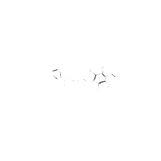 C=Cc1c(F)c(F)c(OCCCCSC(O)c2ccccc2)c(F)c1F